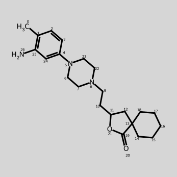 Cc1ccc(N2CCN(CCC3CC4(CCCCC4)C(=O)O3)CC2)cc1N